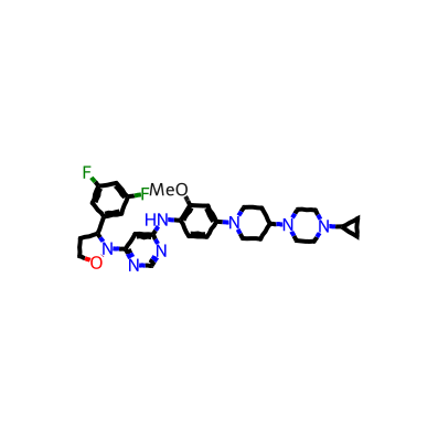 COc1cc(N2CCC(N3CCN(C4CC4)CC3)CC2)ccc1Nc1cc(N2OCCC2c2cc(F)cc(F)c2)ncn1